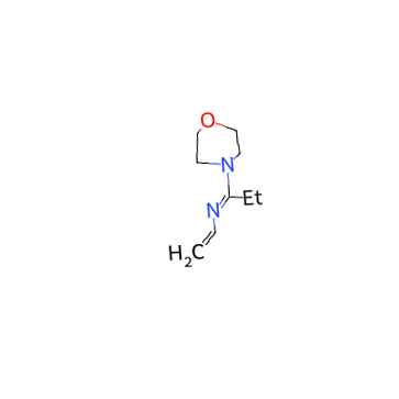 C=C/N=C(\CC)N1CCOCC1